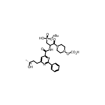 CCCCOP(=O)(O)CC(NC(=O)c1cc(CC[C@@H](C)O)nc(-c2ccccc2)n1)C(=O)N1CCN(OC(=O)O)CC1